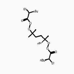 CCCCC(CC)C(=O)OOC(C)(C)CCC(C)(CCC)OOC(=O)C(CC)CCCC